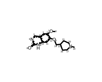 COc1cc2cnc(=O)[nH]c2cc1OCC1CCN(C)CC1